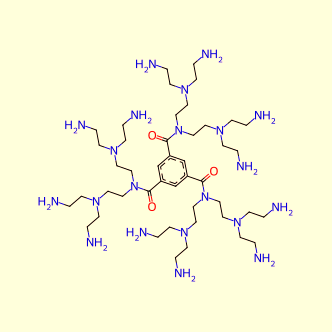 NCCN(CCN)CCN(CCN(CCN)CCN)C(=O)c1cc(C(=O)N(CCN(CCN)CCN)CCN(CCN)CCN)cc(C(=O)N(CCN(CCN)CCN)CCN(CCN)CCN)c1